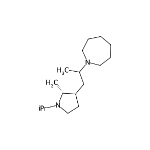 CC(CC1CCN(C(C)C)[C@@H]1C)N1CCCCCC1